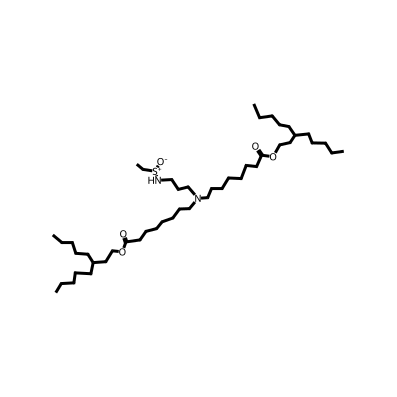 CCCCCC(CCCCC)CCOC(=O)CCCCCCCN(CCCCCCCC(=O)OCCC(CCCCC)CCCCC)CCCN[S+]([O-])CC